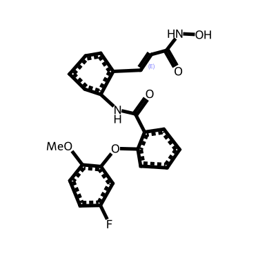 COc1ccc(F)cc1Oc1ccccc1C(=O)Nc1ccccc1/C=C/C(=O)NO